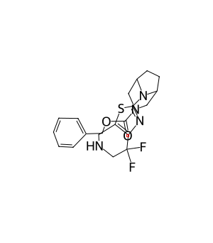 O=C(OCc1ccccc1)N1CC2CCC(C1)N2c1nc2c(s1)CNCC2(F)F